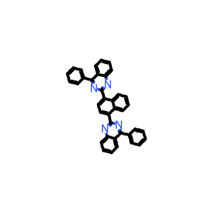 c1ccc(-c2nc(-c3ccc(-c4nc(-c5ccccc5)c5ccccc5n4)c4ccccc34)nc3ccccc23)cc1